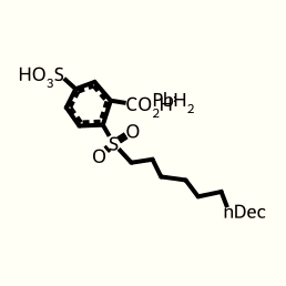 CCCCCCCCCCCCCCCCS(=O)(=O)c1ccc(S(=O)(=O)O)cc1C(=O)O.[PbH2]